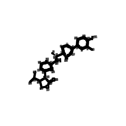 Cc1cc(-c2ccc([C@@H](C)Nc3nccc(N4C(=O)OCC4C(C)C)n3)nc2)ccc1F